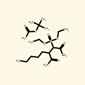 CC(=O)OC(C)(C)C.CCOP(=O)(OCC)C(C(N)=O)C(CCCCN)C(N)=O